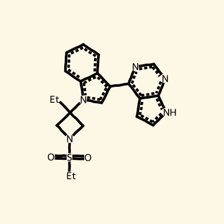 CCC1(n2cc(-c3ncnc4[nH]ccc34)c3ccccc32)CN(S(=O)(=O)CC)C1